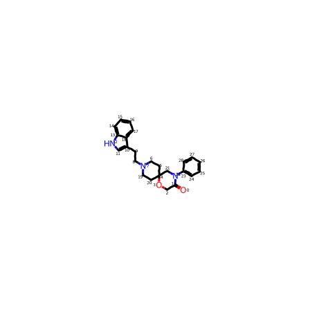 O=C1COC2(CCN(CCc3c[nH]c4ccccc34)CC2)CN1c1ccccc1